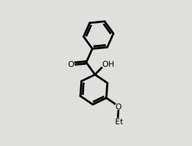 [CH2]COC1=CC=CC(O)(C(=O)c2ccccc2)C1